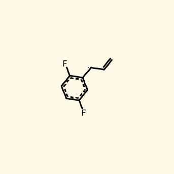 C=C[CH]c1cc(F)ccc1F